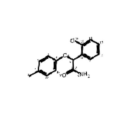 Cc1ccc(OC(C(N)=O)c2ccccc2Cl)cc1